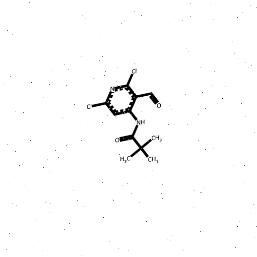 CC(C)(C)C(=O)Nc1cc(Cl)nc(Cl)c1C=O